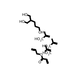 C=C(C)C(=O)O.C=C(C)C(=O)O.C=C(C)C(=O)O.C=CCOC(=O)C=C.OCCCC(CO)CO